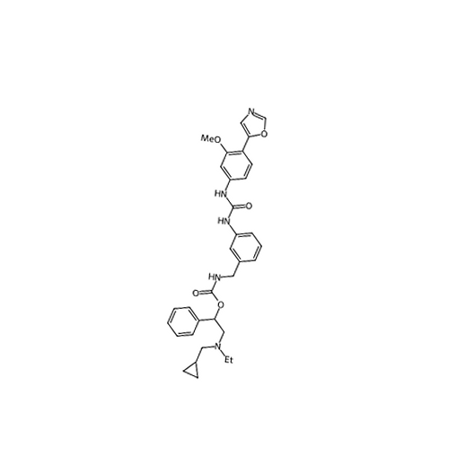 CCN(CC1CC1)CC(OC(=O)NCc1cccc(NC(=O)Nc2ccc(-c3cnco3)c(OC)c2)c1)c1ccccc1